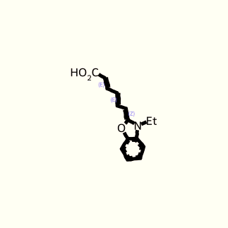 CCN1/C(=C/C=C/C=C/C(=O)O)Oc2ccccc21